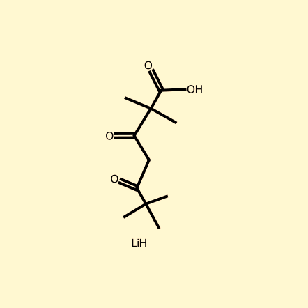 CC(C)(C)C(=O)CC(=O)C(C)(C)C(=O)O.[LiH]